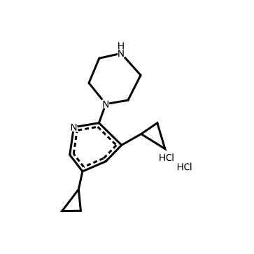 Cl.Cl.c1nc(N2CCNCC2)c(C2CC2)cc1C1CC1